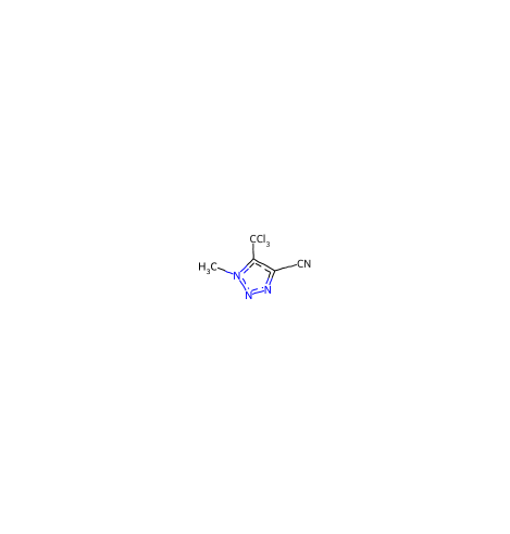 Cn1nnc(C#N)c1C(Cl)(Cl)Cl